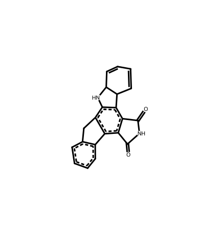 O=C1NC(=O)c2c1c1c(c3c2C2C=CC=CC2N3)Cc2ccccc2-1